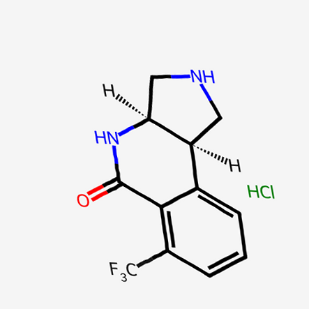 Cl.O=C1N[C@H]2CNC[C@H]2c2cccc(C(F)(F)F)c21